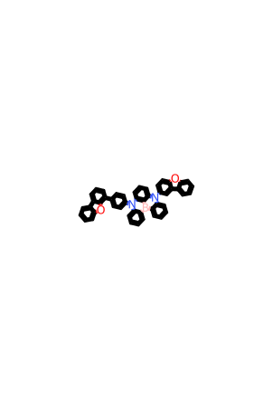 c1ccc2c(c1)B1c3ccccc3N(c3ccc4oc5ccccc5c4c3)c3cccc(c31)N2c1ccc(-c2cccc3c2oc2ccccc23)cc1